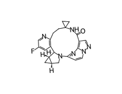 O=C1NC2(CCc3ncc(F)cc3[C@@H]3[C@H]4C[C@H]4CN3c3ccn4ncc1c4n3)CC2